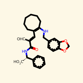 O=C/C(=C\C1=C(/NCc2ccc3c(c2)OCO3)CCCCCC1)C(=O)N[C@@H](C(=O)O)c1ccccc1